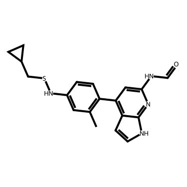 Cc1cc(NSCC2CC2)ccc1-c1cc(NC=O)nc2[nH]ccc12